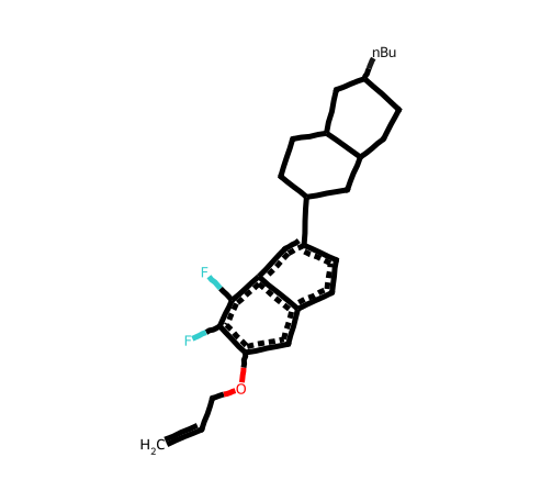 C=CCOc1cc2ccc(C3CCC4CC(CCCC)CCC4C3)cc2c(F)c1F